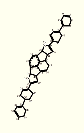 C1=CCCC(C2=CC=C(C3=CC4C5CC=C6c7c(ccc(c75)C4S3)C3SC(C4=CCC(C5=CC=CCC5)CC4)=CC63)CC2)=C1